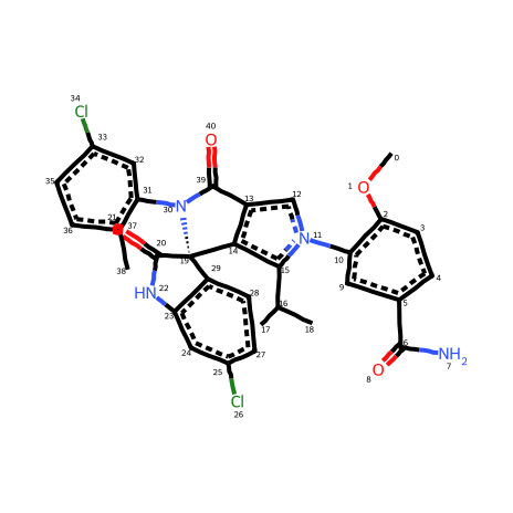 COc1ccc(C(N)=O)cc1-n1cc2c(c1C(C)C)[C@@]1(C(=O)Nc3cc(Cl)ccc31)N(c1cc(Cl)ccc1C)C2=O